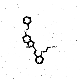 COCCOc1ccccc1/C=C/c1cc2cc(OCc3ccccc3)ccc2[nH]1